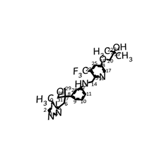 Cn1cnnc1CC1(c2cccc(NCc3ncc(OCC(C)(C)O)cc3C(F)(F)F)c2)COC1